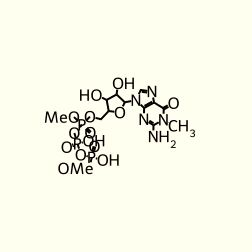 COP(=O)(O)OP(=O)(O)OP(=O)(OC)OCC1OC(n2cnc3c(=O)n(C)c(N)nc32)C(O)C1O